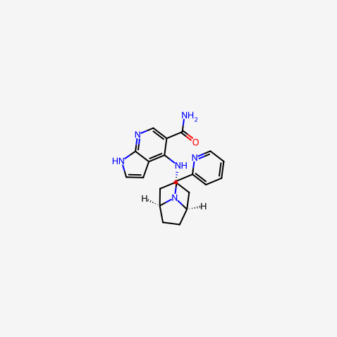 NC(=O)c1cnc2[nH]ccc2c1N[C@@H]1C[C@H]2CC[C@@H](C1)N2Cc1ccccn1